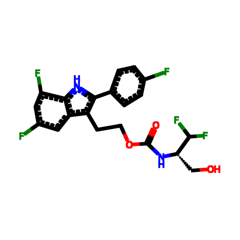 O=C(N[C@@H](CO)C(F)F)OCCc1c(-c2ccc(F)cc2)[nH]c2c(F)cc(F)cc12